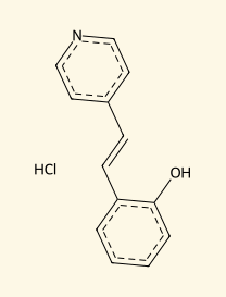 Cl.Oc1ccccc1C=Cc1ccncc1